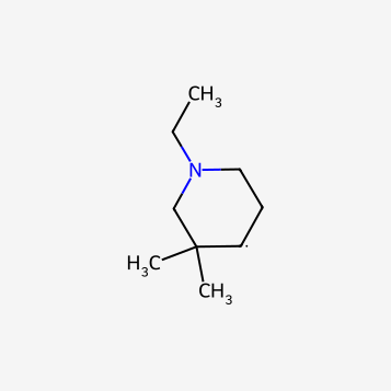 CCN1CC[CH]C(C)(C)C1